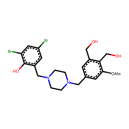 COc1cc(CN2CCN(Cc3cc(Br)cc(Br)c3O)CC2)cc(CO)c1CO